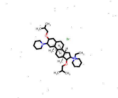 CC[N+]1(C2C[C@H]3[C@@H]4CCC5CC(OCC(C)C)C(N6CCCCC6)C[C@]5(C)[C@@H]4CC[C@]3(C)C2OCC(C)C)CCCCC1.[Br-]